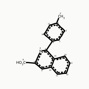 Cc1ccc(-c2nc(C(=O)O)cc3ccccc23)cc1